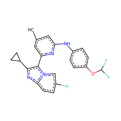 N#Cc1cc(Nc2ccc(OC(F)F)cc2)nc(-c2c(C3CC3)nc3ccc(F)cn23)c1